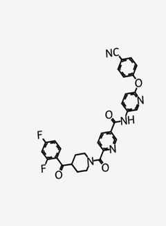 N#Cc1ccc(Oc2ccc(NC(=O)c3ccc(C(=O)N4CCC(C(=O)c5ccc(F)cc5F)CC4)nc3)cn2)cc1